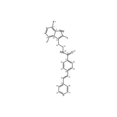 Cc1[nH]c2c(F)ccc(C)c2c1CCNC(=O)c1ccc(C=Cc2ccccc2)cc1